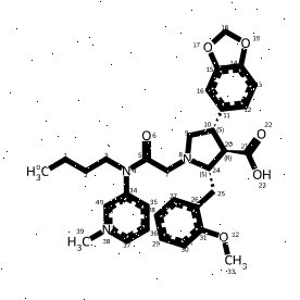 CCCCN(C(=O)CN1C[C@H](c2ccc3c(c2)OCO3)[C@@H](C(=O)O)[C@@H]1Cc1ccccc1OC)c1ccc[n+](C)c1